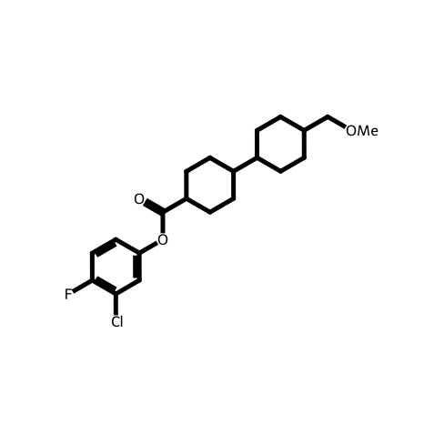 COCC1CCC(C2CCC(C(=O)Oc3ccc(F)c(Cl)c3)CC2)CC1